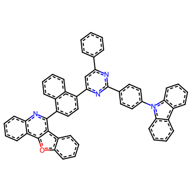 c1ccc(-c2cc(-c3ccc(-c4nc5ccccc5c5oc6ccccc6c45)c4ccccc34)nc(-c3ccc(-n4c5ccccc5c5ccccc54)cc3)n2)cc1